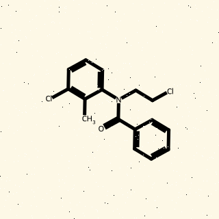 Cc1c(Cl)cccc1N(CCCl)C(=O)c1ccccc1